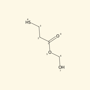 O=C(CCS)OCO